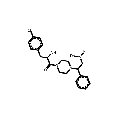 CCN(CC)CC(c1ccccc1)N1CCN(C(=O)[C@H](N)Cc2ccc(Cl)cc2)CC1